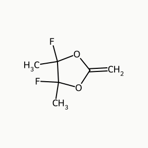 C=C1OC(C)(F)C(C)(F)O1